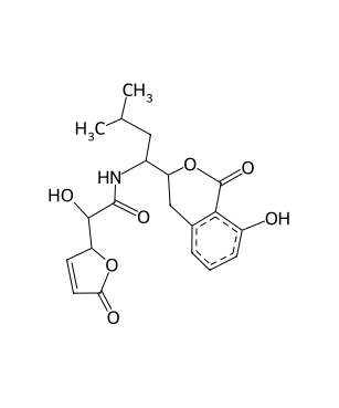 CC(C)CC(NC(=O)C(O)C1C=CC(=O)O1)C1Cc2cccc(O)c2C(=O)O1